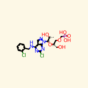 C[C@@H](O)[C@@H](O[C@@H](CO)COCP(=O)(O)O)n1ncc2c(NCc3ccccc3Cl)nc(Cl)nc21